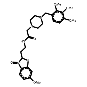 COc1ccc2c(c1)SC(CCNC(=O)CN1CCN(Cc3ccc(OC)c(OC)c3OC)CC1)[N+]2=O